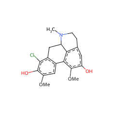 COc1cc2c(c(Cl)c1O)CC1c3c(cc(O)c(OC)c3-2)CCN1C